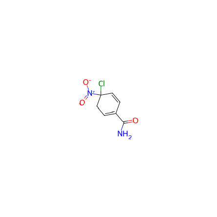 NC(=O)C1=CCC(Cl)([N+](=O)[O-])C=C1